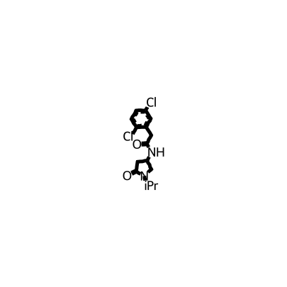 CC(C)N1CC(NC(=O)Cc2cc(Cl)ccc2Cl)CC1=O